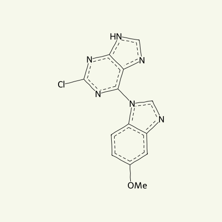 COc1ccc2c(c1)ncn2-c1nc(Cl)nc2[nH]cnc12